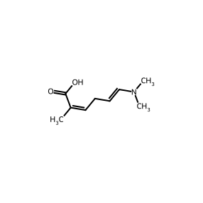 CC(=CCC=CN(C)C)C(=O)O